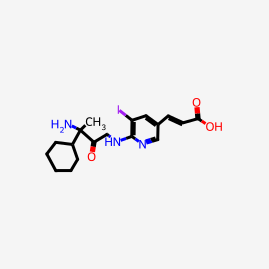 CC(N)(C(=O)CNc1ncc(/C=C/C(=O)O)cc1I)C1CCCCC1